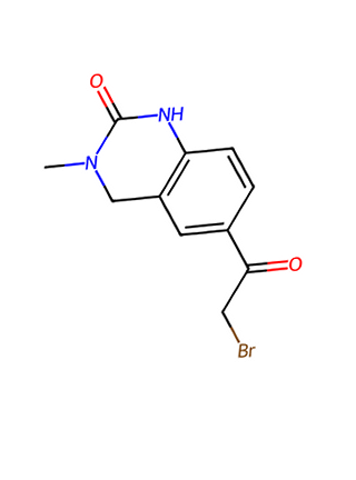 CN1Cc2cc(C(=O)CBr)ccc2NC1=O